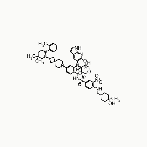 Cc1ccccc1[C@@H]1CCC(C)(C)CN1C1CC2(CCN(c3ccc(C(=O)NS(=O)(=O)c4ccc(NCC5CCC(C)(O)CC5)c([N+](=O)[O-])c4)c(N4c5cc6cc[nH]c6nc5O[C@H]5COCC[C@@H]54)c3)CC2)C1